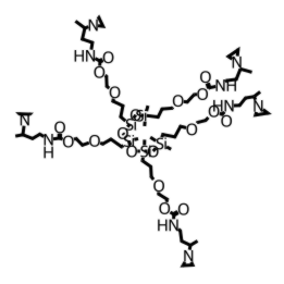 CC(CCNC(=O)OCCOCCC[Si](C)(C)O[Si](C)(CCCOCCOC(=O)NCCC(C)N1CC1)O[Si](C)(CCCOCCOC(=O)NCCC(C)N1CC1)O[Si](C)(CCCOCCOC(=O)NCCC(C)N1CC1)O[Si](C)(C)CCCOCCOC(=O)NCCC(C)N1CC1)N1CC1